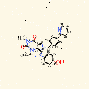 CC(C)Cn1c(=O)n(C)c(=O)c2cn(Cc3ccc(-c4ccccn4)cc3)c(Nc3ccc(O)cc3)c21